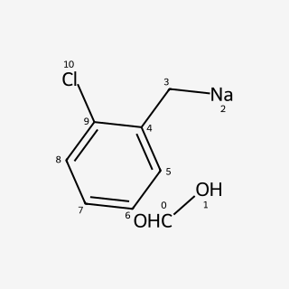 O=CO.[Na][CH2]c1ccccc1Cl